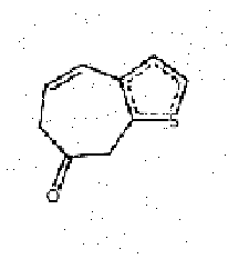 O=C1CC=Cc2ccsc2C1